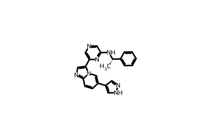 C[C@H](Nc1cncc(-c2cnc3ccc(-c4cn[nH]c4)cn23)n1)c1ccccc1